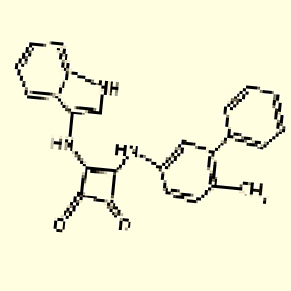 Cc1ccc(Nc2c(Nc3c[nH]c4ccccc34)c(=O)c2=O)cc1-c1ccccc1